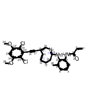 C=CC(=O)Nc1cccc(C)c1N/C1=N/C=C(C#Cc2c(Cl)c(OC)cc(OC)c2Cl)\C=C\CC1